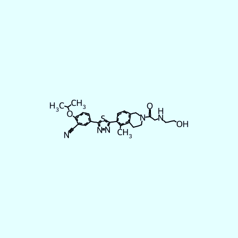 Cc1c(-c2nnc(-c3ccc(OC(C)C)c(C#N)c3)s2)ccc2c1CCN(C(=O)CNCCO)C2